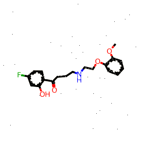 COc1ccccc1OCCNCCCC(=O)c1ccc(F)cc1O